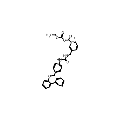 CCOC(=O)OC(C)[n+]1cccc(CNC(=O)Nc2ccc(COc3ccccc3-c3ccccc3)cc2)c1